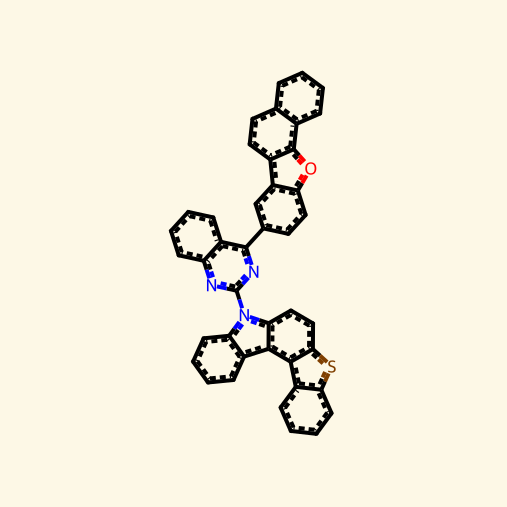 c1ccc2c(c1)ccc1c3cc(-c4nc(-n5c6ccccc6c6c7c(ccc65)sc5ccccc57)nc5ccccc45)ccc3oc21